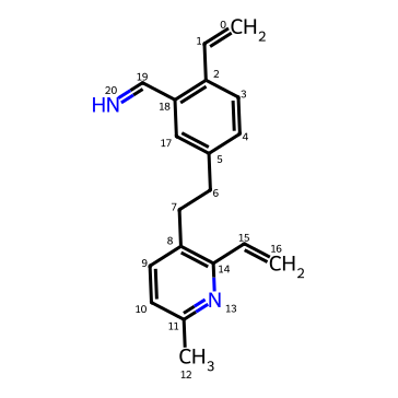 C=Cc1ccc(CCc2ccc(C)nc2C=C)cc1C=N